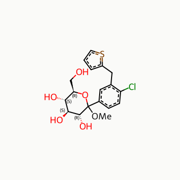 COC1(c2ccc(Cl)c(Cc3cccs3)c2)O[C@H](CO)[C@@H](O)[C@H](O)[C@H]1O